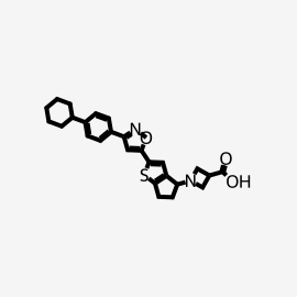 O=C(O)C1CN(C2CCc3sc(-c4cc(-c5ccc(C6CCCCC6)cc5)no4)cc32)C1